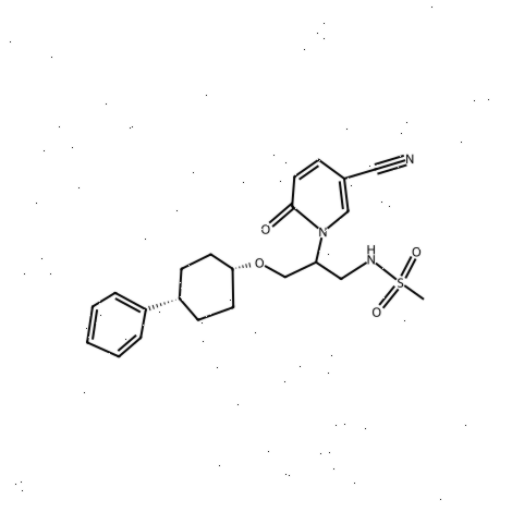 CS(=O)(=O)NCC(CO[C@H]1CC[C@@H](c2ccccc2)CC1)n1cc(C#N)ccc1=O